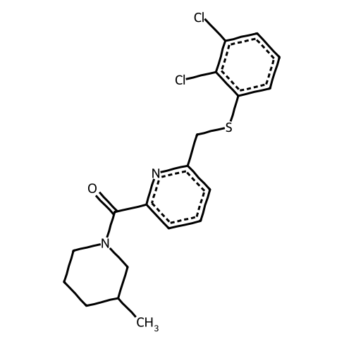 CC1CCCN(C(=O)c2cccc(CSc3cccc(Cl)c3Cl)n2)C1